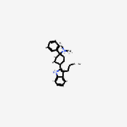 CC(=O)NCCc1c(C2CCC(c3ccccc3)(N(C)C)CC2)[nH]c2ccccc12